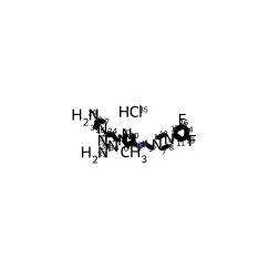 Cc1c(/C=C/CN2CCN(c3cc(F)cc(F)c3)CC2)cnn1-c1cc(N2CC(N)C2)nc(N)n1.Cl